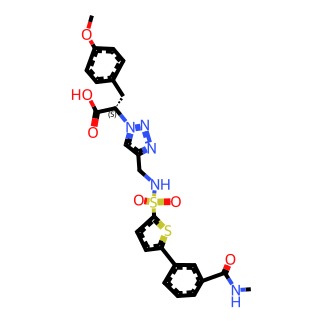 CNC(=O)c1cccc(-c2ccc(S(=O)(=O)NCc3cn([C@@H](Cc4ccc(OC)cc4)C(=O)O)nn3)s2)c1